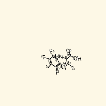 Cc1c(F)c(F)c(NC(C(=O)O)C(C)C)c(Cl)c1F